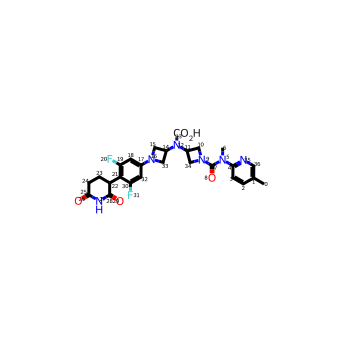 Cc1ccc(N(C)C(=O)N2CC(N(C(=O)O)C3CN(c4cc(F)c(C5CCC(=O)NC5=O)c(F)c4)C3)C2)nc1